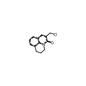 O=c1c(CCl)cc2cccc3c2n1CCC3